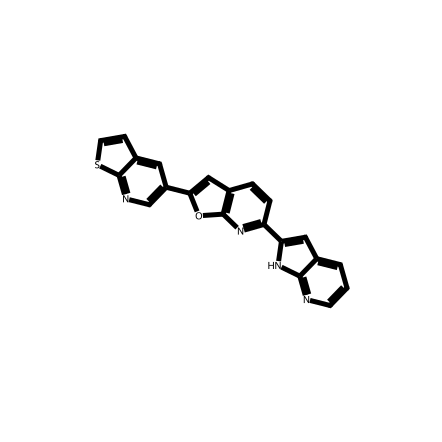 c1cnc2[nH]c(-c3ccc4cc(-c5cnc6sccc6c5)oc4n3)cc2c1